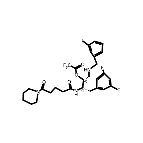 O=C(CCCC(=O)N1CCCCC1)N[C@@H](Cc1cc(F)cc(F)c1)[C@@H](CNCc1cccc(I)c1)OC(=O)C(F)(F)F